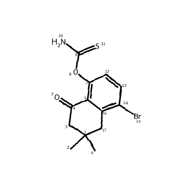 CC1(C)CC(=O)c2c(OC(N)=S)ccc(Br)c2C1